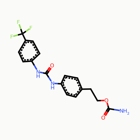 NC(=O)OCCc1ccc(NC(=O)Nc2ccc(C(F)(F)F)cc2)cc1